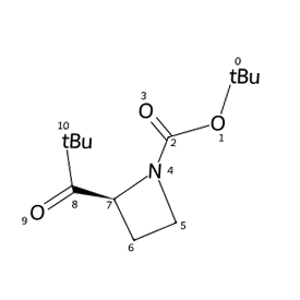 CC(C)(C)OC(=O)N1CC[C@H]1C(=O)C(C)(C)C